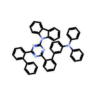 c1ccc(-c2ccccc2-c2nc(-c3ccccc3-c3cccc(N(c4ccccc4)c4ccccc4)c3)nc(-n3c4ccccc4c4ccccc43)n2)cc1